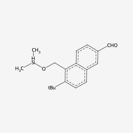 C[SiH](C)OCc1c(C(C)(C)C)ccc2cc(C=O)ccc12